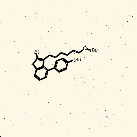 CCC1=C(CCCCCCOC(C)(C)C)c2c(cccc2-c2ccc(C(C)(C)C)cc2)[CH]1